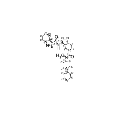 CN(C(=O)c1ccc2c(c1)[C@H](NC(=O)c1cnn3cccnc13)CC2)C1CCN(c2ccncc2)CC1